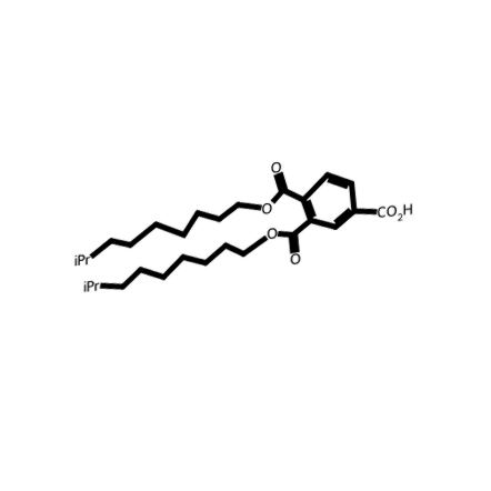 CC(C)CCCCCCCOC(=O)c1ccc(C(=O)O)cc1C(=O)OCCCCCCCC(C)C